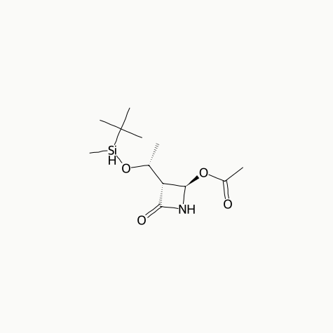 CC(=O)O[C@H]1NC(=O)[C@@H]1[C@@H](C)O[SiH](C)C(C)(C)C